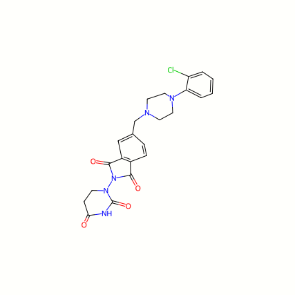 O=C1CCN(N2C(=O)c3ccc(CN4CCN(c5ccccc5Cl)CC4)cc3C2=O)C(=O)N1